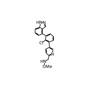 CONCc1ccc(-c2cccc(-c3cccc4[nH]ncc34)c2Cl)cn1